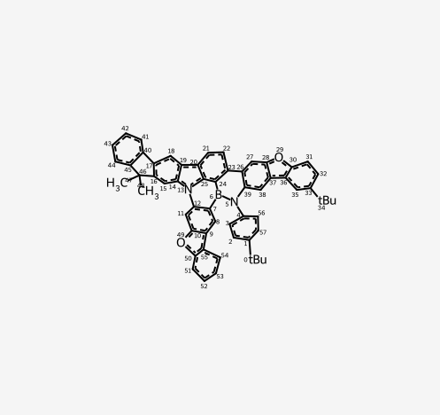 CC(C)(C)c1ccc(N2B3c4cc5c(cc4-n4c6cc7c(cc6c6ccc(c3c64)-c3cc4oc6ccc(C(C)(C)C)cc6c4cc32)-c2ccccc2C7(C)C)oc2ccccc25)cc1